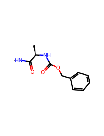 C[C@@H](NC(=O)OCc1ccccc1)C([NH])=O